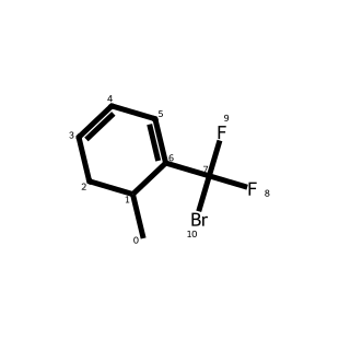 CC1CC=CC=C1C(F)(F)Br